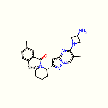 CC(=O)Nc1ccc(C)cc1C(=O)N1CCCC[C@H]1c1cc2nc(N3CC(N)C3)c(C)cn2n1